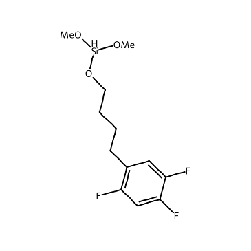 CO[SiH](OC)OCCCCc1cc(F)c(F)cc1F